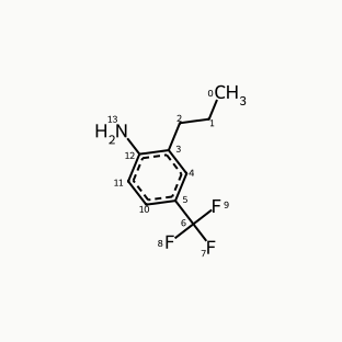 CCCc1cc(C(F)(F)F)ccc1N